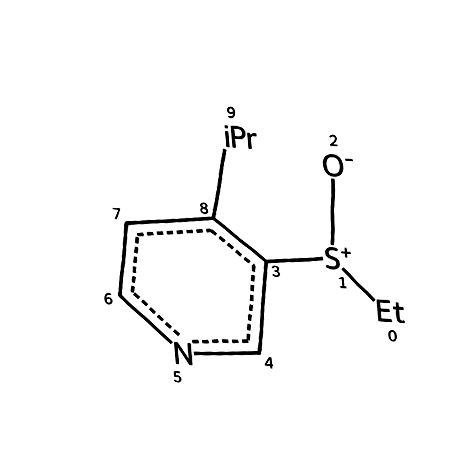 CC[S+]([O-])c1cnccc1C(C)C